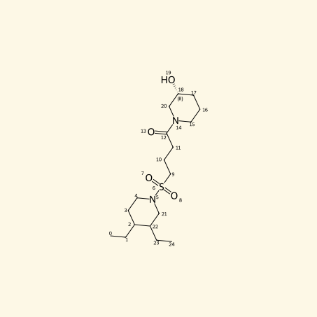 CCC1CCN(S(=O)(=O)CCCC(=O)N2CCC[C@@H](O)C2)CC1CC